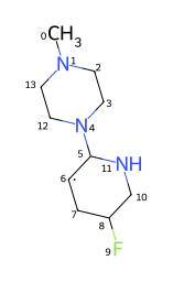 CN1CCN(C2[CH]CC(F)CN2)CC1